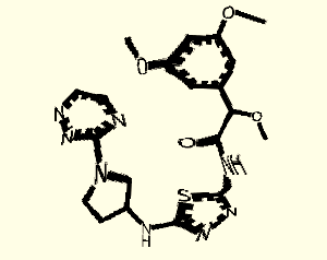 COc1cc(OC)cc(C(OC)C(=O)Nc2nnc(NC3CCN(c4nccnn4)C3)s2)c1